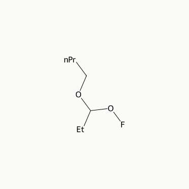 CCCCOC(CC)OF